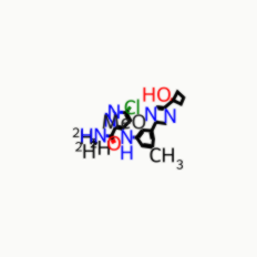 [2H]C([2H])([2H])NC(=O)c1nnc(Cl)cc1Nc1cc(C)cc(-c2cnc(C3(O)CCC3)cn2)c1OC